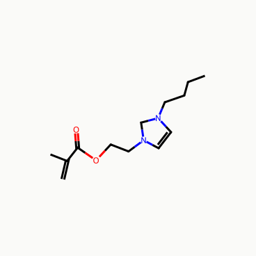 C=C(C)C(=O)OCCN1C=CN(CCCC)C1